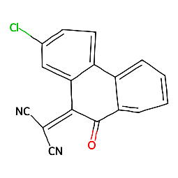 N#CC(C#N)=C1C(=O)c2ccccc2-c2ccc(Cl)cc21